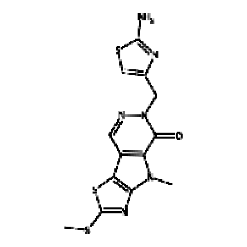 CSc1nc2c(s1)c1cnn(Cc3csc(N)n3)c(=O)c1n2C